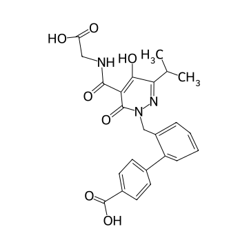 CC(C)c1nn(Cc2ccccc2-c2ccc(C(=O)O)cc2)c(=O)c(C(=O)NCC(=O)O)c1O